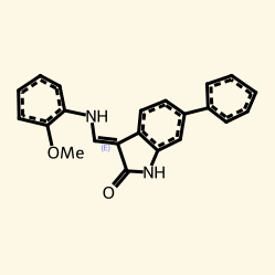 COc1ccccc1N/C=C1/C(=O)Nc2cc(-c3ccccc3)ccc21